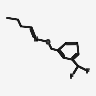 CCCC=NOCc1cccc(C(F)F)c1